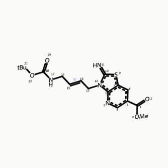 COC(=O)c1cnc2c(c1)sc(=N)n2C/C=C/CNC(=O)OC(C)(C)C